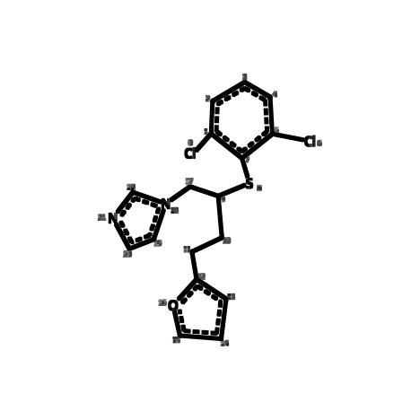 Clc1cccc(Cl)c1SC(CCc1ccco1)Cn1ccnc1